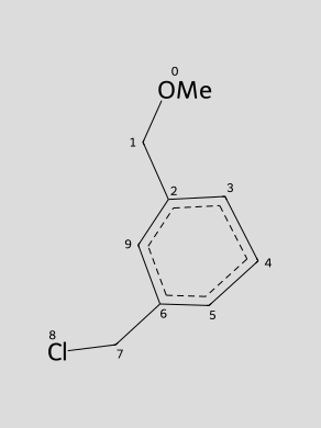 COCc1cccc(CCl)c1